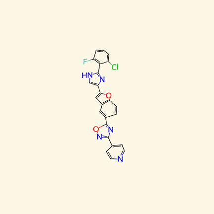 Fc1cccc(Cl)c1-c1nc(-c2cc3cc(-c4nc(-c5ccncc5)no4)ccc3o2)c[nH]1